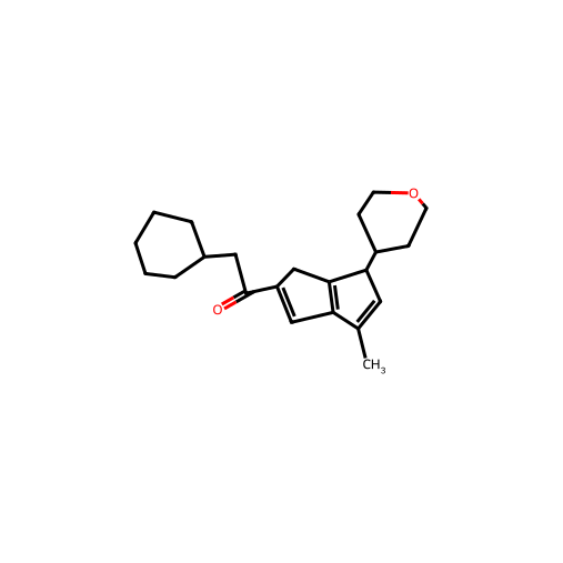 CC1=CC(C2CCOCC2)C2=C1C=C(C(=O)CC1CCCCC1)C2